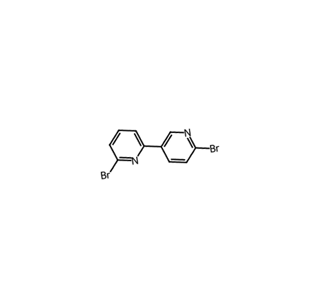 Brc1ccc(-c2cccc(Br)n2)cn1